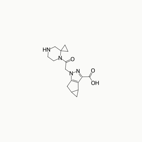 O=C(O)c1nn(CC(=O)N2CCNCC23CC3)c2c1C1CC1C2